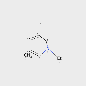 C.CCN1C=CC=C(C)C1